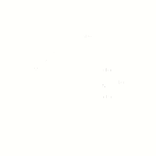 CCCCCCCCCCCCc1ccccc1S(=O)(=O)[O-].CCCC[N+](CCCC)(CCCC)Cc1ccccc1